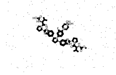 COC(=O)N[C@H](C(=O)N1CCC[C@H]1c1nc2cc([C@H]3CC[C@H](c4ccc5[nH]c([C@@H]6CCCN6C(=O)[C@@H](NC(=O)O)C(C)C)nc5c4)N3c3ccc(N4CCS(O)(O)CC4)c(F)c3)ccc2[nH]1)C(C)C